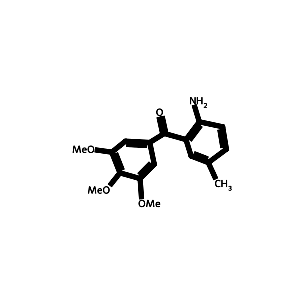 COc1cc(C(=O)c2cc(C)ccc2N)cc(OC)c1OC